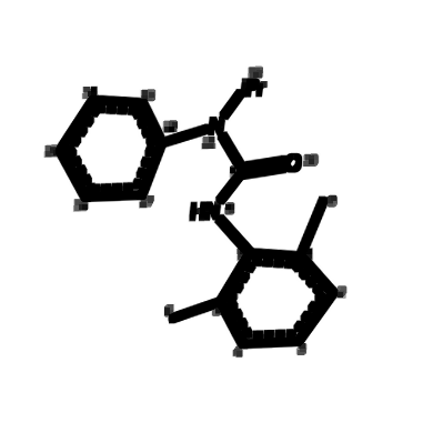 Cc1cccc(C)c1NC(=O)N(c1ccccc1)C(C)C